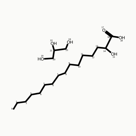 CCCCCCCCCCCCCCC(O)C(=O)O.OCC(O)CO